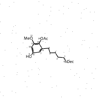 CCCCCCCCCCCCCCCc1cc(O)cc(OC)c1OC(C)=O